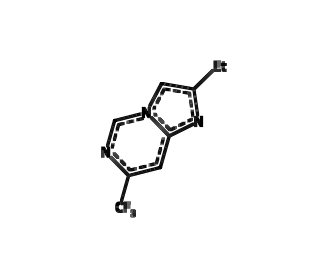 CCc1cn2cnc(C(F)(F)F)cc2n1